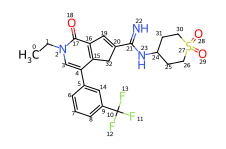 CCn1cc(-c2cccc(C(F)(F)F)c2)c2c(c1=O)C=C(C(=N)NC1CCS(=O)(=O)CC1)C2